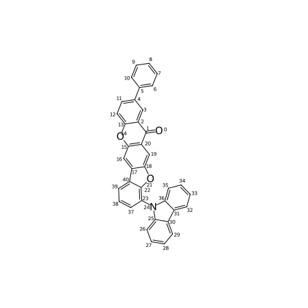 O=c1c2cc(-c3ccccc3)ccc2oc2cc3c(cc12)oc1c(-n2c4ccccc4c4ccccc42)cccc13